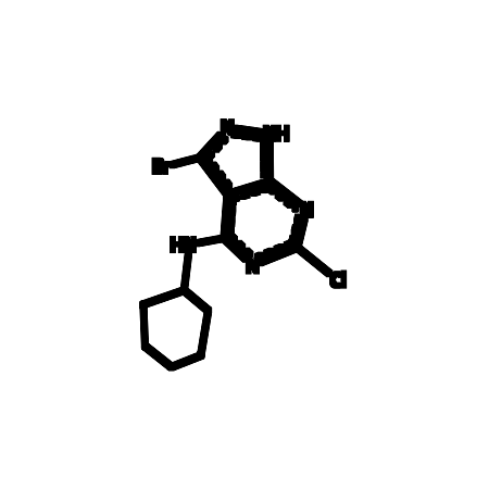 Clc1nc(NC2CCCCC2)c2c(Br)n[nH]c2n1